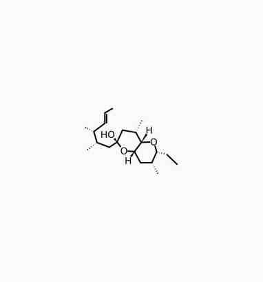 C/C=C/[C@@H](C)[C@@H](C)C[C@]1(O)C[C@H](C)[C@@H]2O[C@H](CC)[C@H](C)C[C@@H]2O1